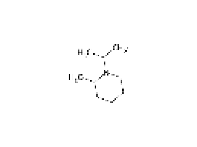 [CH2]C(C)N1CCCCC1C